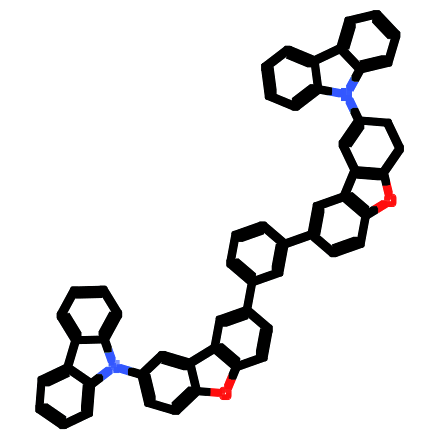 C1=C(n2c3ccccc3c3ccccc32)CCc2oc3ccc(-c4cccc(-c5ccc6oc7ccc(-n8c9ccccc9c9ccccc98)cc7c6c5)c4)cc3c21